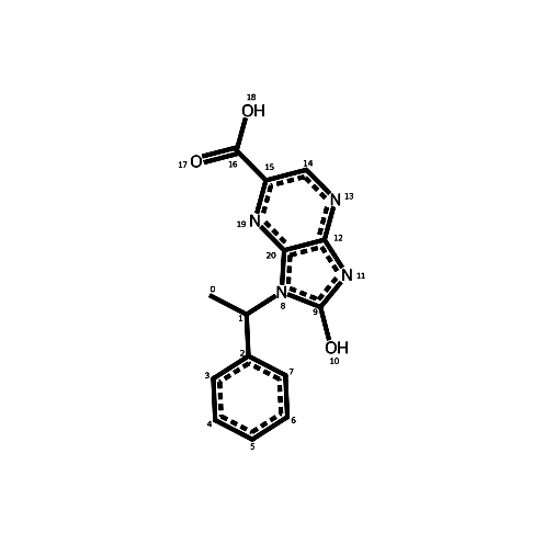 CC(c1ccccc1)n1c(O)nc2ncc(C(=O)O)nc21